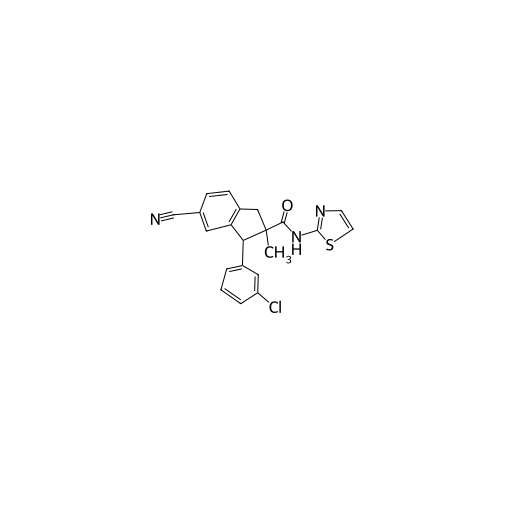 CC1(C(=O)Nc2nccs2)Cc2ccc(C#N)cc2C1c1cccc(Cl)c1